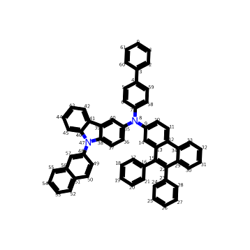 c1ccc(-c2ccc(N(c3ccc4c(c3)c(-c3ccccc3)c(-c3ccccc3)c3ccccc34)c3ccc4c(c3)c3ccccc3n4-c3ccc4ccccc4c3)cc2)cc1